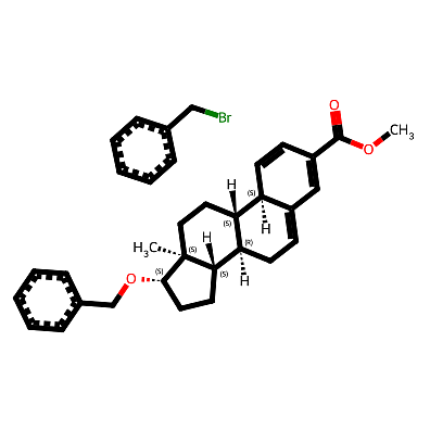 BrCc1ccccc1.COC(=O)C1=CC2=CC[C@@H]3[C@H](CC[C@]4(C)[C@@H](OCc5ccccc5)CC[C@@H]34)[C@H]2C=C1